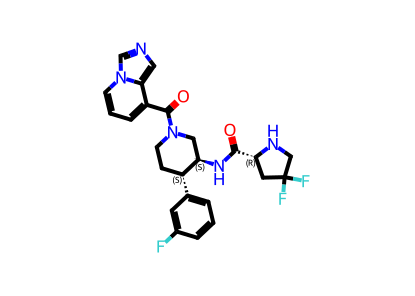 O=C(N[C@@H]1CN(C(=O)c2cccn3cncc23)CC[C@H]1c1cccc(F)c1)[C@H]1CC(F)(F)CN1